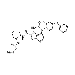 C=C(CNC)N[C@H]1CCCC[C@H]1NC(=C)c1sc2nccc3c2c1NC(=O)N3c1ccc(Oc2ccccc2)cc1C